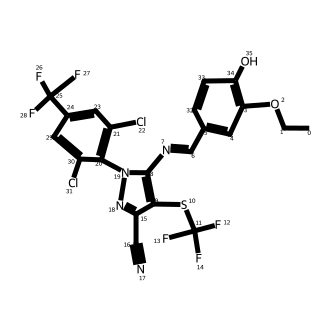 CCOc1cc(C=Nc2c(SC(F)(F)F)c(C#N)nn2-c2c(Cl)cc(C(F)(F)F)cc2Cl)ccc1O